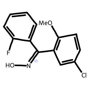 COc1ccc(Cl)cc1/C(=N/O)c1ccccc1F